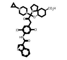 O=C(Nc1cc(Cl)c(CC(=O)C(O[C@H]2CC[C@H](C(=O)O)CC2)(N2CCCC2)N2CCN(C3CC3)CC2)cc1Cl)c1csc2ccccc12